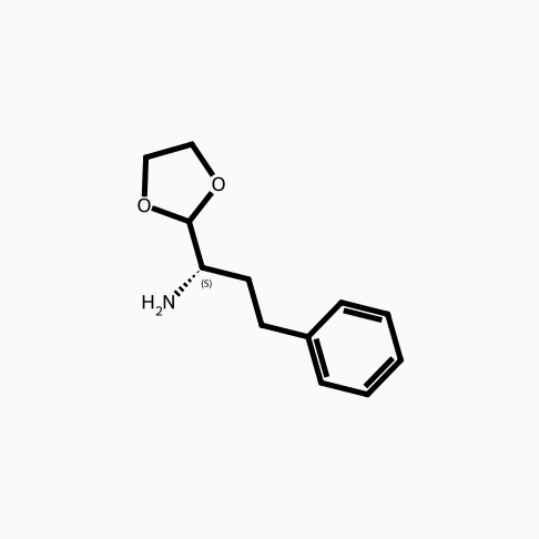 N[C@@H](CCc1ccccc1)C1OCCO1